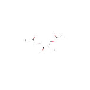 CC(=O)OCC(=O)C(C)COC(C)=O